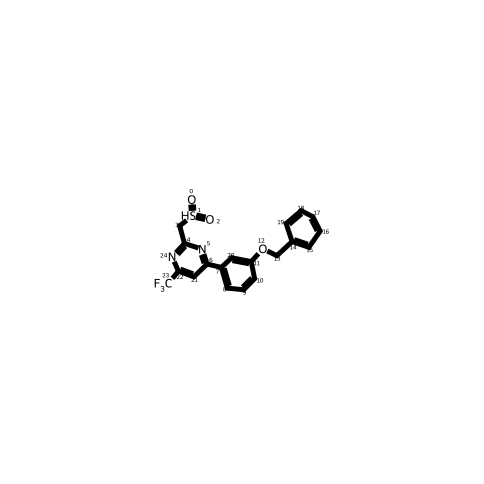 O=[SH](=O)Cc1nc(-c2cccc(OCc3ccccc3)c2)cc(C(F)(F)F)n1